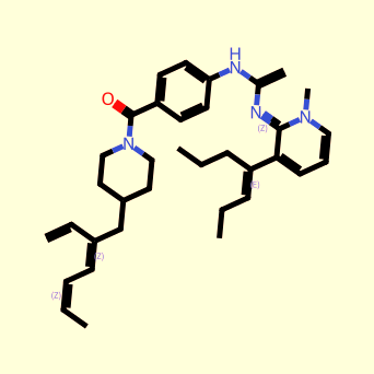 C=C/C(=C\C=C/C)CC1CCN(C(=O)c2ccc(NC(=C)/N=c3/c(/C(=C/CC)CCC)cccn3C)cc2)CC1